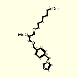 CCCCCCCCCCCCCCCCOCC(COCc1ccc(CN2C=CSC2)cc1)OC